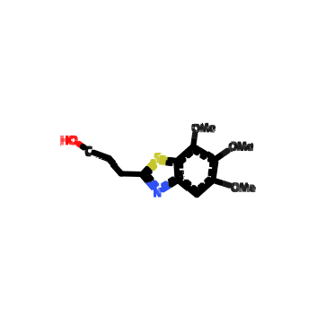 COc1cc2nc(CCCO)sc2c(OC)c1OC